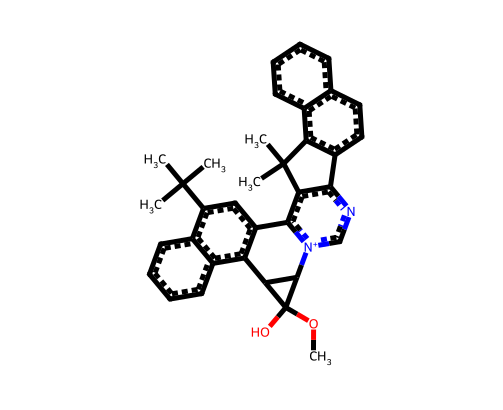 COC1(O)C2c3c(cc(C(C)(C)C)c4ccccc34)-c3c4c(nc[n+]3C21)-c1ccc2ccccc2c1C4(C)C